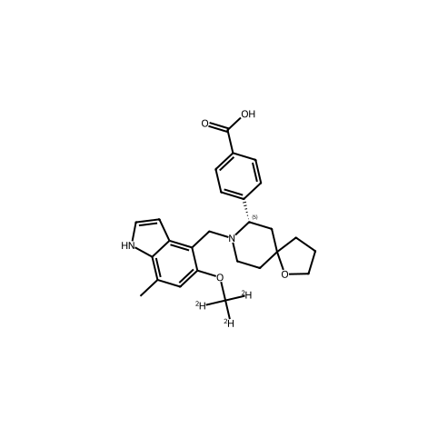 [2H]C([2H])([2H])Oc1cc(C)c2[nH]ccc2c1CN1CCC2(CCCO2)C[C@H]1c1ccc(C(=O)O)cc1